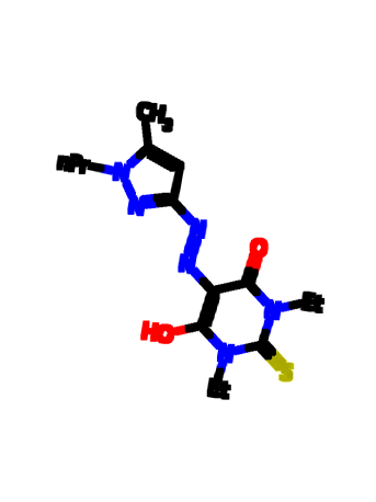 CCCn1nc(N=Nc2c(O)n(CC)c(=S)n(CC)c2=O)cc1C